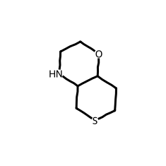 C1COC2CCSCC2N1